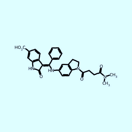 CN(C)C(=O)CCC(=O)N1CCc2cc(N/C(=C3\C(=O)Nc4cc(C(=O)O)ccc43)c3ccccc3)ccc21